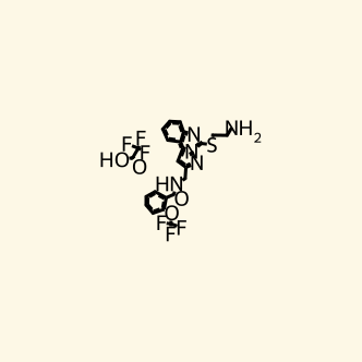 NCCSc1nc2ccccc2c2cc(CNC(=O)c3ccccc3OC(F)(F)F)nn12.O=C(O)C(F)(F)F